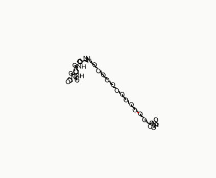 O=C(CCOCCOCCOCCOCCOCCOCCOCCOCCOCCOCCOCCOCCn1cc(-c2cccc(NC(=O)N3CCC4(CC3)NC(=O)N(C3CCOCC3)C4=O)c2)nn1)ON1C(=O)CCC1=O